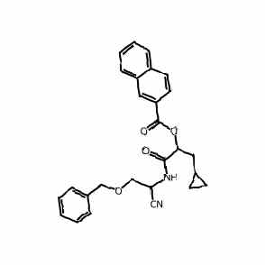 N#CC(COCc1ccccc1)NC(=O)C(CC1CC1)OC(=O)c1ccc2ccccc2c1